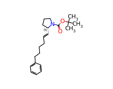 CC(C)(C)OC(=O)N1CCC[C@H]1C=CCCCCc1ccccc1